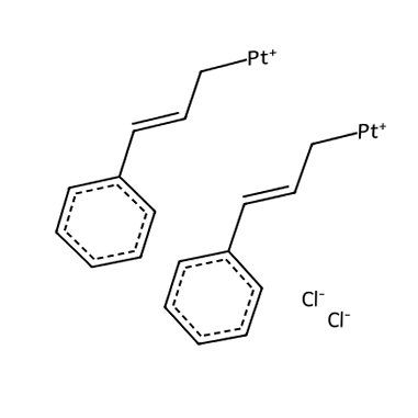 [Cl-].[Cl-].[Pt+][CH2]/C=C/c1ccccc1.[Pt+][CH2]/C=C/c1ccccc1